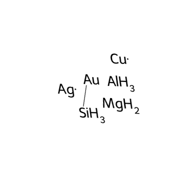 [Ag].[AlH3].[Cu].[MgH2].[SiH3][Au]